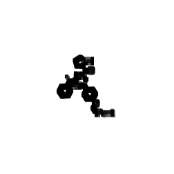 CCCC(C)COc1ccc([C@@H](CNC(=O)[C@@H]2CCCN2)NC(=O)[C@@H](C)c2ccccc2)cc1